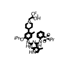 Cc1cc(Nc2nc(Nc3ccccc3S(=O)(=O)C(C)C)c3c(C)c[nH]c3n2)c(OC(C)C)cc1C1CCN(C[C@H](O)C(F)(F)F)CC1